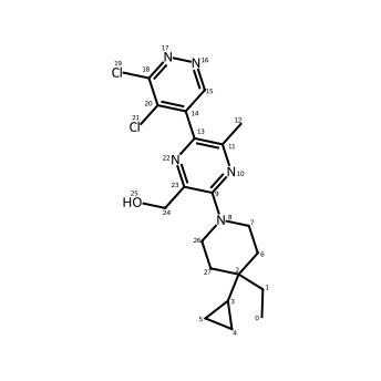 CCC1(C2CC2)CCN(c2nc(C)c(-c3cnnc(Cl)c3Cl)nc2CO)CC1